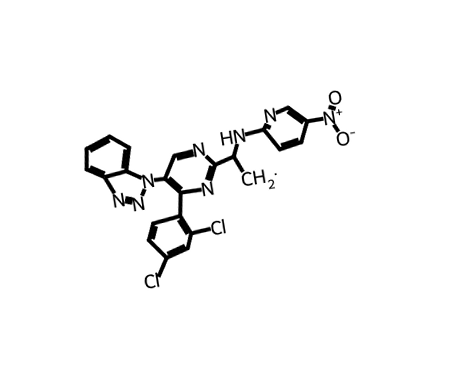 [CH2]C(Nc1ccc([N+](=O)[O-])cn1)c1ncc(-n2nnc3ccccc32)c(-c2ccc(Cl)cc2Cl)n1